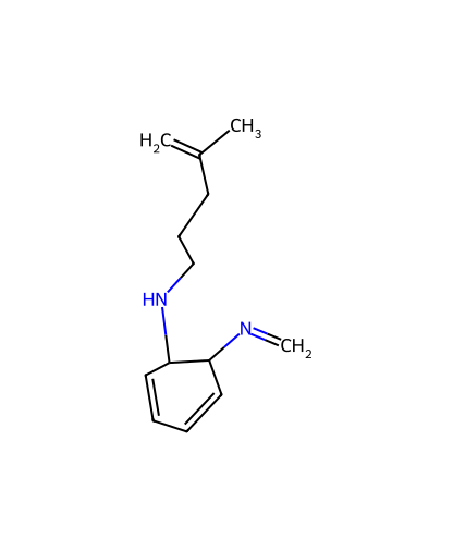 C=NC1C=CC=CC1NCCCC(=C)C